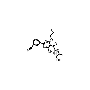 CC(CO)ONC(=O)c1c(N)nc(-c2cccc(C#N)c2)nc1OCCF